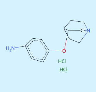 Cl.Cl.Nc1ccc(OC2CN3CCC2CC3)cc1